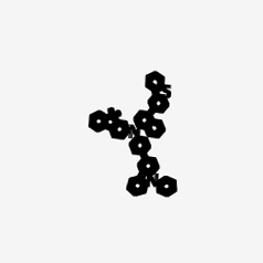 CC1(C)c2ccccc2-c2ccc(N(c3ccc(-c4ccc5c(c4)c4ccccc4n5-c4ccccc4)cc3)c3ccc(-c4ccc5sc6ccccc6c5c4)c4ccccc34)cc21